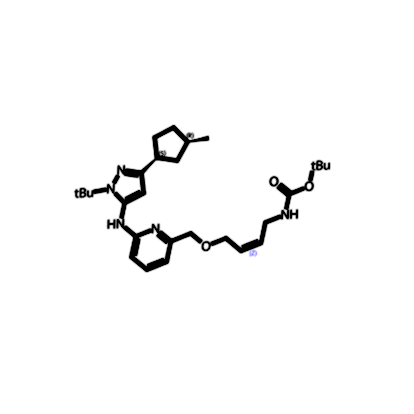 C[C@@H]1CC[C@H](c2cc(Nc3cccc(COC/C=C\CNC(=O)OC(C)(C)C)n3)n(C(C)(C)C)n2)C1